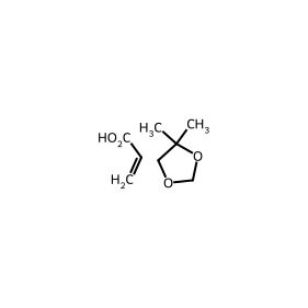 C=CC(=O)O.CC1(C)COCO1